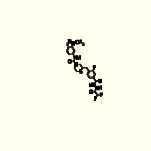 Cn1ncc2ccc(NC(=O)N3CCSC(Cc4ccc(C(=O)NNC(=O)C(F)F)cc4F)C3)cc21